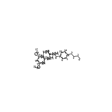 CCCCc1ccc(CNC(=N)Nc2nc(OC)cc(OC)n2)cc1